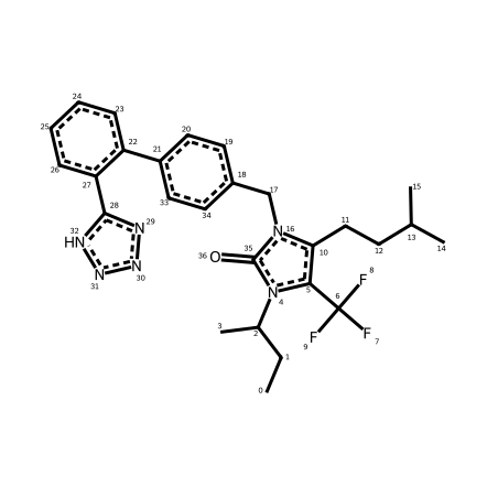 CCC(C)n1c(C(F)(F)F)c(CCC(C)C)n(Cc2ccc(-c3ccccc3-c3nnn[nH]3)cc2)c1=O